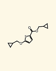 O=C(OCC1CC1)c1ccc(OCC2CC2)s1